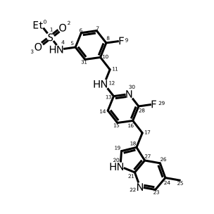 CCS(=O)(=O)Nc1ccc(F)c(CNc2ccc(Cc3c[nH]c4ncc(C)cc34)c(F)n2)c1